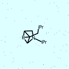 CC(C)CC12B3C1CN(C(C)C)C32